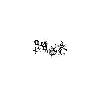 CCOP(=O)(OCC)[C@](COC)(CC(=O)NO)OC[C@H]1O[C@@H](n2ncc3c(N(C(=O)OC(C)(C)C)C4CCCC4)nc(Cl)nc32)[C@@H]2OC(C)(C)O[C@@H]21